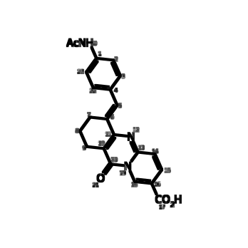 CC(=O)Nc1ccc(C=C2CCCc3c2nc2ccc(C(=O)O)cn2c3=O)cc1